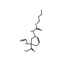 CCCCOC(=O)NC1C=CCC(NC=O)(C(=O)O)C1